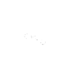 O=C(Nc1c(F)cccc1F)N(Cc1ccccc1)[C@H]1CC[C@H](C2CCCCC2)CC1